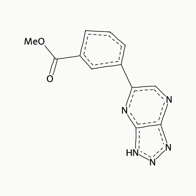 COC(=O)c1cccc(-c2cnc3nn[nH]c3n2)c1